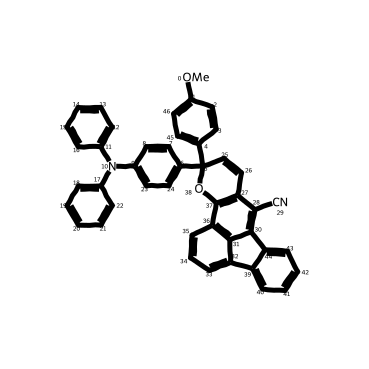 COc1ccc(C2(c3ccc(N(c4ccccc4)c4ccccc4)cc3)C=Cc3c(C#N)c4c5c(cccc5c3O2)-c2ccccc2-4)cc1